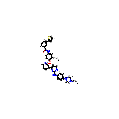 Cc1cc(NC(=O)c2cccc(-c3cccs3)c2)ccc1Oc1ncccc1-c1ccnc(Nc2ccc(N3CCN(C)CC3)cc2)n1